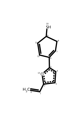 C=Cc1ccc(C2=CCC(S)C=C2)o1